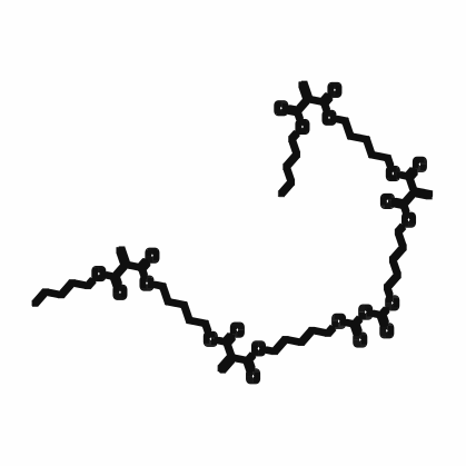 C=C(C(=O)OCCCCC)C(=O)OCCCCCOC(=O)C(=C)C(=O)OCCCCCOC(=O)OC(=O)OCCCCCOC(=O)C(=C)C(=O)OCCCCCOC(=O)C(=C)C(=O)OCCCCC